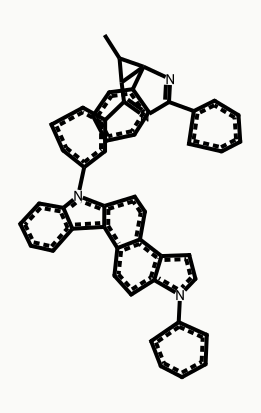 CC1C2C(c3cccc(-n4c5ccccc5c5c6ccc7c(ccn7-c7ccccc7)c6ccc54)c3)=NC(c3ccccc3)=NC12c1ccccc1